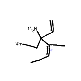 C=CC(N)(CC(C)C)/C(C)=C\C